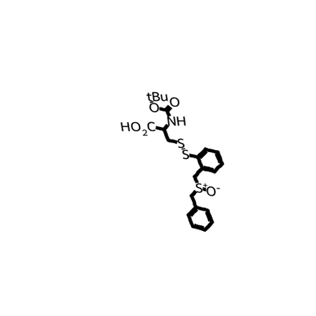 CC(C)(C)OC(=O)NC(CSSc1ccccc1C[S+]([O-])Cc1ccccc1)C(=O)O